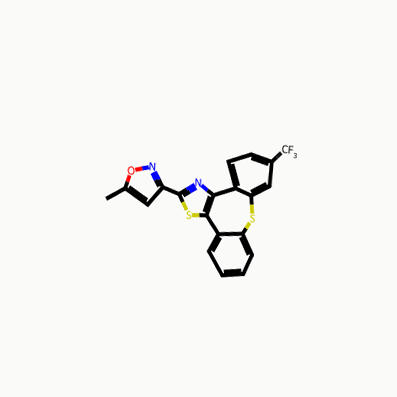 Cc1cc(-c2nc3c(s2)-c2ccccc2Sc2cc(C(F)(F)F)ccc2-3)no1